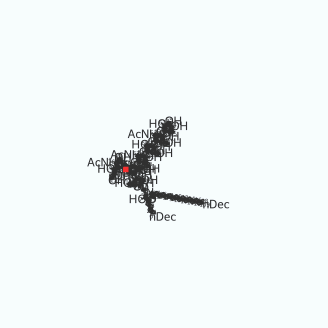 CCCCCCCCCCCCC/C=C/[C@@H](O)[C@H](CO[C@@H]1OC(CO)[C@@H](O[C@@H]2OC(CO)[C@H](O[C@@H]3OC(CO)[C@H](O)[C@H](O[C@@H]4OC(CO)[C@H](O)[C@H](O[C@@H]5OC(CO)[C@@H](O)[C@H](O[C@H]6OC(C)[C@@H](O)C(O)[C@@H]6O)C5NC(C)=O)C4O)C3NC(C)=O)[C@H](O[C@]3(C(=O)O)CC(O)[C@@H](NC(C)=O)C([C@H](O)[C@H](O)CO)O3)C2O)[C@H](O)C1O)NC(=O)CCCCCCCCCCCCCCCCCCCCCCCCC